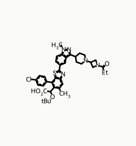 CCC(=O)N1CC(N2CCC(c3nn(C)c4ccc(-c5nc6cc(C)c(C(OC(C)(C)C)C(=O)O)c(-c7ccc(Cl)cc7)c6s5)cc34)CC2)C1